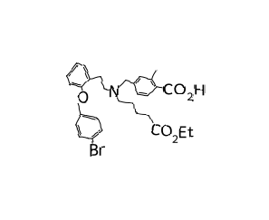 CCOC(=O)CCCCN(CCc1ccccc1OCc1ccc(Br)cc1)Cc1ccc(C(=O)O)c(C)c1